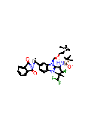 C[C@H](c1ccc2nc([C@@H](N[S@@+]([O-])C(C)(C)C)C(F)C(C)(C)C(F)F)n(COCC[Si](C)(C)C)c2c1)N1C(=O)c2ccccc2C1=O